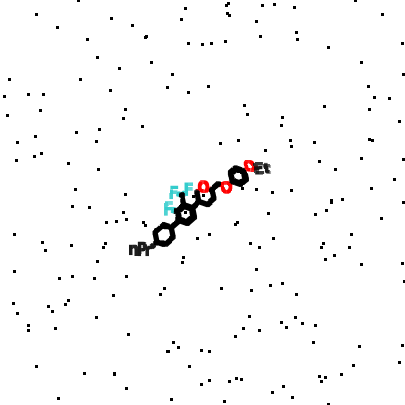 CCCC1CCC(c2ccc(C3CCC(COc4ccc(OCC)cc4)OC3)c(C(F)F)c2F)CC1